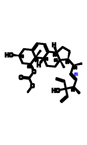 C=CC(O)(C=C)[C@H](C)/C=C/[C@@H](C)[C@H]1CC[C@H]2C3=CC=C4C[C@@H](O)C[C@H](OC(=O)OC)[C@]4(C)[C@H]3CC[C@]12C